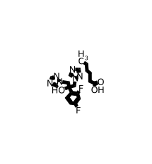 CCCCCC(=O)O.OC(Cn1cncn1)(Cn1cncn1)c1ccc(F)cc1F